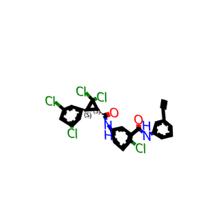 C#Cc1cccc(NC(=O)c2cc(NC(=O)[C@@H]3[C@@H](c4cc(Cl)cc(Cl)c4)C3(Cl)Cl)ccc2Cl)c1